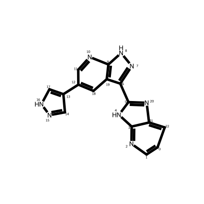 c1cnc2[nH]c(-c3n[nH]c4ncc(-c5cn[nH]c5)cc34)nc2c1